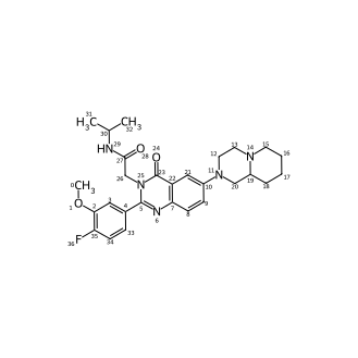 COc1cc(-c2nc3ccc(N4CCN5CCCCC5C4)cc3c(=O)n2CC(=O)NC(C)C)ccc1F